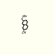 CC(C)(C)Cc1ccc2ccc(C#N)cc2c1